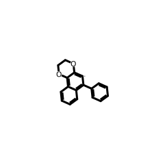 [c]1c2c(c3ccccc3c1-c1ccccc1)OCCO2